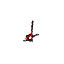 C=C1NC([C@H](O)CC(N)=O)C(=O)N2CC[C@H](O)C2C(=O)N[C@H](OCCCCCCOCCOCCOCCOCCOCCOCCOCCOC)[C@H](O)C[C@H](NC(=O)CCCCCCCCC(C)CC(C)CC)C(=O)NC([C@@H](C)O)C(=O)N2C[C@H](O)CC2C(=O)CC1[C@H](O)[C@@H](O)c1ccc(O)cc1